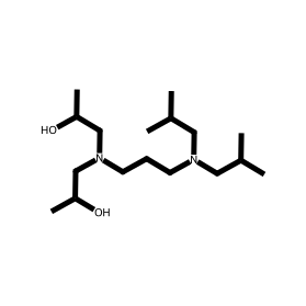 CC(C)CN(CCCN(CC(C)O)CC(C)O)CC(C)C